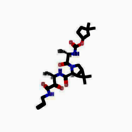 C=CCNC(=O)C(=O)[C@@H](CCC)NC(=O)[C@@H]1C2C(CN1C(=O)[C@@H](NC(=O)OC1CCC(C)(C)C1)C(C)(C)C)C2(C)C